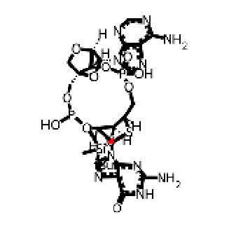 CC(C)(C)[Si](C)(C)O[C@H]1[C@H]2OP(O)OC[C@@]34CO[C@@H]([C@H](n5cnc6c(N)ncnc65)O3)[C@@H]4OP(=O)(O)OC[C@H]1S[C@H]2n1cnc2c(=O)[nH]c(N)nc21